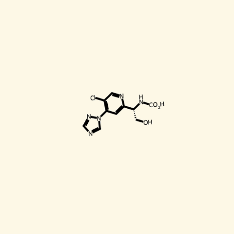 O=C(O)N[C@H](CO)c1cc(-n2cncn2)c(Cl)cn1